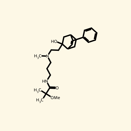 COC(C)(C)C(=O)NCCCN(C)CCC1(O)CC2CCC1C=C2c1ccccc1